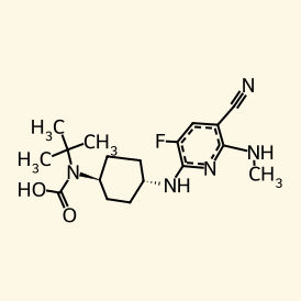 CNc1nc(N[C@H]2CC[C@H](N(C(=O)O)C(C)(C)C)CC2)c(F)cc1C#N